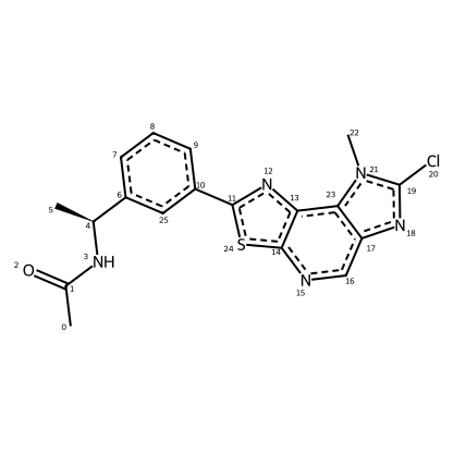 CC(=O)N[C@@H](C)c1cccc(-c2nc3c(ncc4nc(Cl)n(C)c43)s2)c1